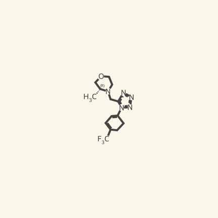 C[C@@H]1COCCN1Cc1nnnn1C1=CC=C(C(F)(F)F)CC1